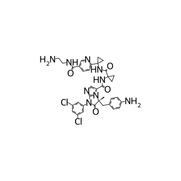 C[C@@]1(Cc2ccc(N)cc2)C(=O)N(c2cc(Cl)cc(Cl)c2)c2ncc(C(=O)NC3(C(=O)NC4(c5ccc(C(=O)NCCN)cn5)CC4)CC3)n21